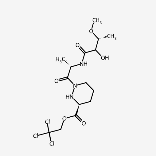 CO[C@H](C)C(O)C(=O)N[C@@H](C)C(=O)N1CCC[C@@H](C(=O)OCC(Cl)(Cl)Cl)N1